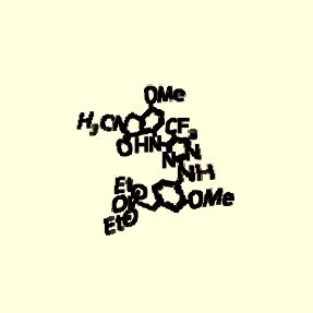 CCOP(=O)(Cc1ccc(Nc2ncc(C(F)(F)F)c(Nc3ccc(OC)c4c3C(=O)N(C)C4)n2)c(OC)c1)OCC